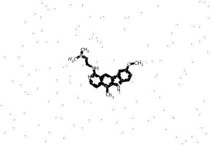 COc1ccc2[nH]c3c(C)c4ccnc(NCCN(C)C)c4cc3c2c1